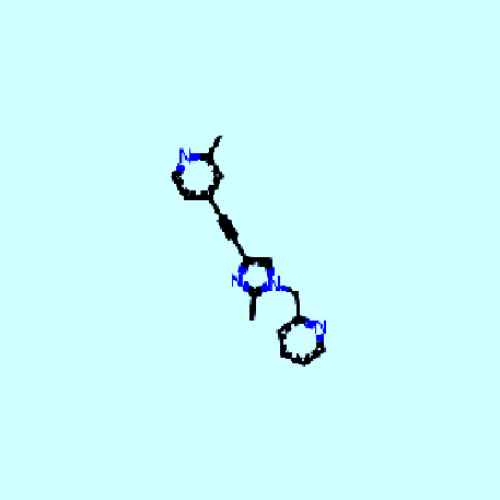 Cc1cc(C#Cc2cn(Cc3ccccn3)c(C)n2)ccn1